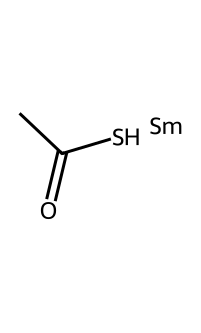 CC(=O)S.[Sm]